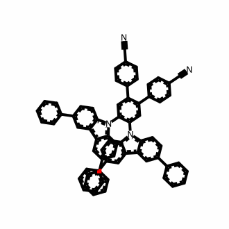 N#Cc1ccc(-c2cc(-n3c4ccc(-c5ccccc5)cc4c4cc(-c5ccccc5)ccc43)c(-n3c4ccc(-c5ccccc5)cc4c4cc(-c5ccccc5)ccc43)cc2-c2ccc(C#N)cc2)cc1